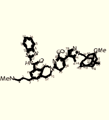 CNCCCc1cc2c(c(C(=O)Nc3nc4ccccc4s3)c1)CN(c1ccc(-c3cnn(CC45CC6(C)CC(OC)(CC7(CC74)C6)C5)c3C)c(C(=O)O)n1)CC2